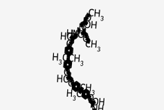 CCOCC(O)CN(CCNCC(O)COc1ccc(C(C)(C)c2ccc(OCC(O)COc3ccc(C(C)(C)c4ccc(OCC(O)CNc5cccc6cc7ccccc7cc56)cc4)cc3)cc2)cc1)CC(O)COCC